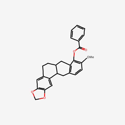 COc1ccc2c(c1OC(=O)c1ccccc1)CC1CCc3cc4c(cc3C1C2)OCO4